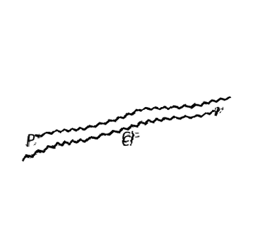 CCCCCCCCCCCCCCCCCCCCCCCCCCCCCCCCCCCCCCCCCCC[P+](C)(C)C.CCCCCCCCCCCCCCCCCCCCCCCCCCCCCCCCCCCCCCCCCC[P+](C)(C)C.[Cl-].[Cl-]